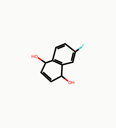 OC1C=CC(O)c2cc(F)ccc21